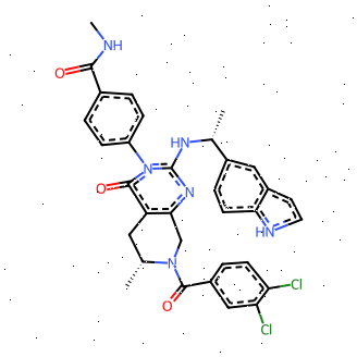 CNC(=O)c1ccc(-n2c(N[C@H](C)c3ccc4[nH]ccc4c3)nc3c(c2=O)C[C@@H](C)N(C(=O)c2ccc(Cl)c(Cl)c2)C3)cc1